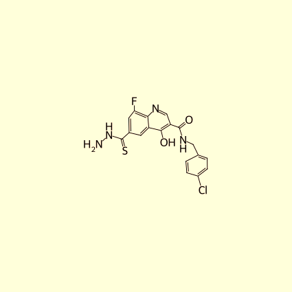 NNC(=S)c1cc(F)c2ncc(C(=O)NCc3ccc(Cl)cc3)c(O)c2c1